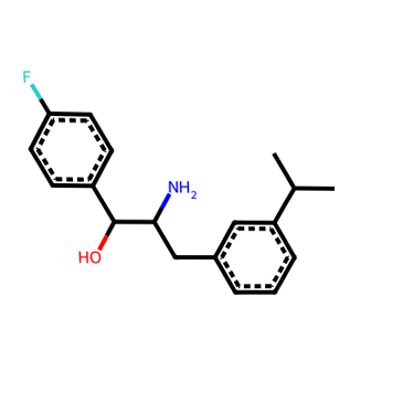 CC(C)c1cccc(CC(N)C(O)c2ccc(F)cc2)c1